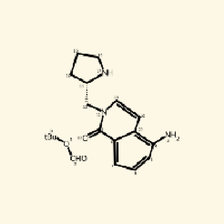 CC(C)(C)OC=O.Nc1cccc2c(=O)n(C[C@@H]3CCCN3)ccc12